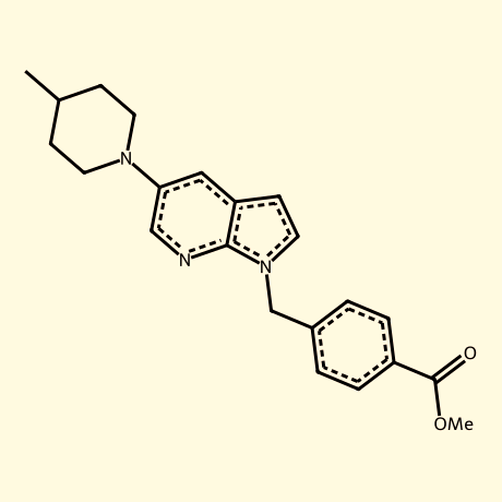 COC(=O)c1ccc(Cn2ccc3cc(N4CCC(C)CC4)cnc32)cc1